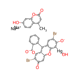 Cc1cc(=O)oc2cc(O)ccc12.O=C([O-])c1ccccc1-c1c2cc(Br)c(=O)cc-2oc2[c]([Hg][OH])c([O-])c(Br)cc12.[Na+].[Na+]